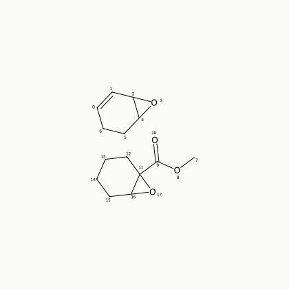 C1=CC2OC2CC1.COC(=O)C12CCCCC1O2